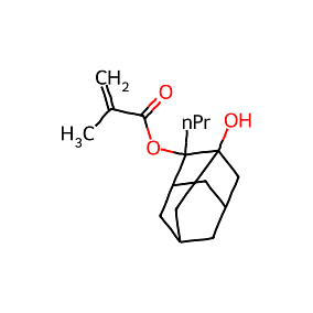 C=C(C)C(=O)OC1(CCC)C2CC3CC(C2)CC1(O)C3